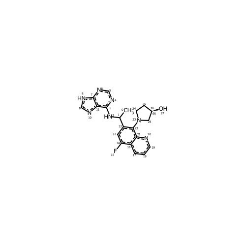 CC(Nc1ncnc2[nH]cnc12)c1cc(F)c2cccnc2c1N1CC[C@@H](O)C1